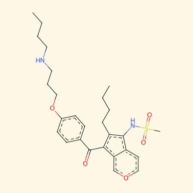 CCCCNCCCOc1ccc(C(=O)c2c3coccc-3c(NS(C)(=O)=O)c2CCCC)cc1